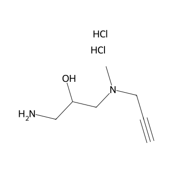 C#CCN(C)CC(O)CN.Cl.Cl